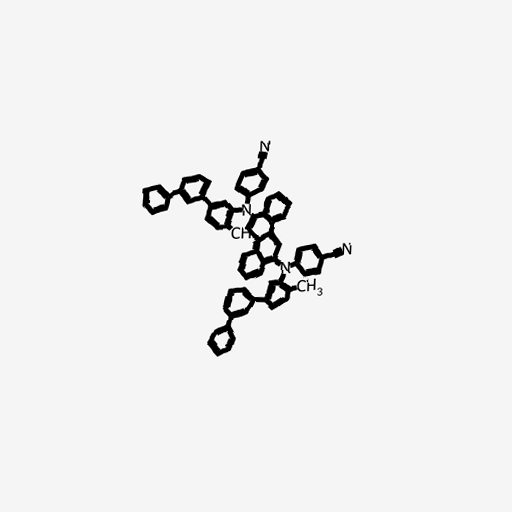 Cc1ccc(-c2cccc(-c3ccccc3)c2)cc1N(c1ccc(C#N)cc1)c1cc2c3ccccc3c(N(c3ccc(C#N)cc3)c3cc(-c4cccc(-c5ccccc5)c4)ccc3C)cc2c2ccccc12